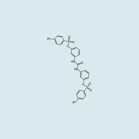 CC(C)c1ccc(S(=O)(=O)Oc2cccc(NC(=O)Nc3cccc(OS(=O)(=O)c4ccc(C(C)C)cc4)c3)c2)cc1